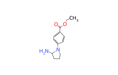 CCOC(=O)c1ccc(N2CCCC2N)cc1